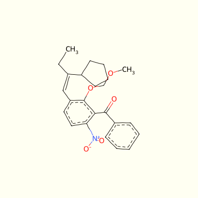 CCC(=Cc1ccc([N+](=O)[O-])c(C(=O)c2ccccc2)c1OCOC)C1CCCC1